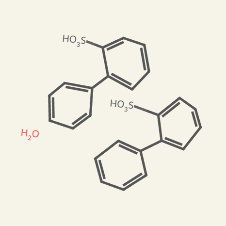 O.O=S(=O)(O)c1ccccc1-c1ccccc1.O=S(=O)(O)c1ccccc1-c1ccccc1